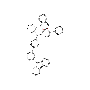 c1ccc(-c2ccc(N(c3ccc(-c4cccc(-n5c6ccccc6c6ccccc65)c4)cc3)c3ccccc3-c3cccc4ccccc34)cc2)cc1